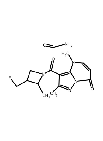 Cc1nn2c(=O)ccn(C)c2c1C(=O)N1CC(CF)C1C.NC=O